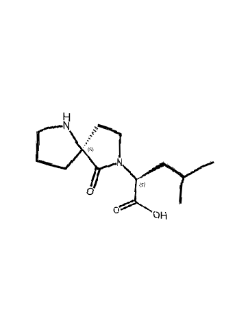 CC(C)C[C@@H](C(=O)O)N1CC[C@@]2(CCCN2)C1=O